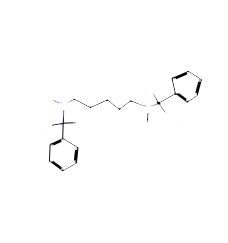 CC(C)(c1ccccc1)N(CCCCCN(C(=O)O)C(C)(C)c1ccccc1)C(=O)O